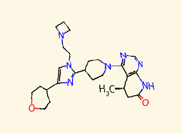 C[C@@H]1CC(=O)Nc2ncnc(N3CCC(c4nc(C5CCOCC5)cn4CCN4CCC4)CC3)c21